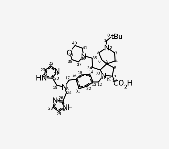 CC(C)(C)CN1CCC2(CC1)C[C@@H](C(=O)O)N(Cc1ccc(CN(Cc3ncc[nH]3)Cc3ncc[nH]3)cc1)C2CCN1CCOCC1